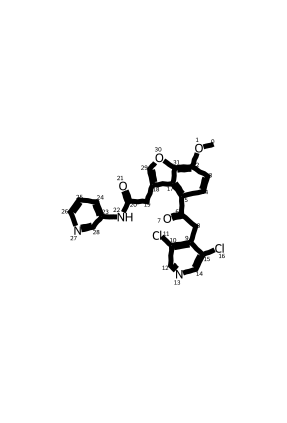 COc1ccc(C(=O)Cc2c(Cl)cncc2Cl)c2c(CC(=O)Nc3cccnc3)coc12